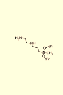 CC(C)O[Si](C)(CCCNCCN)OC(C)C